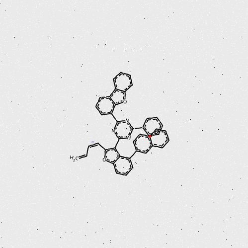 C=C/C=C\c1oc2cccc(-c3ccc4ccccc4c3)c2c1-c1nc(-c2ccccc2)nc(-c2cccc3c2oc2ccccc23)n1